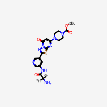 [2H]C([2H])(N)C(=O)Nc1cncc(-c2nn3c(=O)cc(N4CCN(C(=O)OC(C)(C)C)CC4)nc3s2)c1